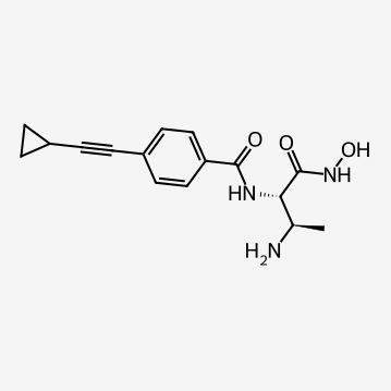 C[C@@H](N)[C@H](NC(=O)c1ccc(C#CC2CC2)cc1)C(=O)NO